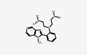 CCN(CC)CCN(CCN(CC)CC)c1ccccc1-c1nc2cnccc2n1C